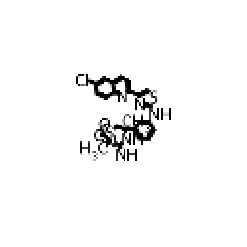 CN1C(=N)NC(C)(c2cccc(Nc3nc(-c4ccc5cc(Cl)ccc5n4)cs3)c2)CS1(=O)=O